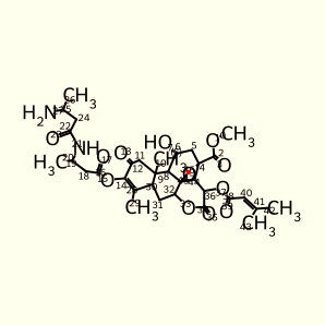 COC(=O)C12C[C@H](O)C3C4(C)CC(=O)C(OC(=O)CC(C)NC(=O)CC(C)N)=C(C)C4CC4OC(=O)C(OC(=O)C=C(C)C)C1C43CO2